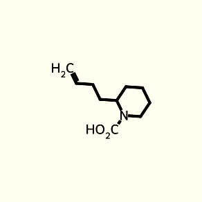 C=CCCC1CCCCN1C(=O)O